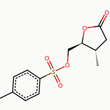 Cc1ccc(S(=O)(=O)OC[C@H]2OC(=O)C[C@@H]2C)cc1